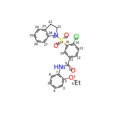 CCOc1ccccc1NC(=O)c1ccc(Cl)c(S(=O)(=O)N2CCc3ccccc32)c1